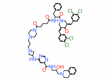 O=C(CCCC(=O)N1CCN(CCCN2CC(Nc3cc(C(=O)NCC(O)CN4CCc5ccccc5C4)ncn3)C2)CC1)NC(Cc1ccccc1)C(=O)N1CC(=Cc2ccc(Cl)c(Cl)c2)C(=O)C(=Cc2ccc(Cl)c(Cl)c2)C1